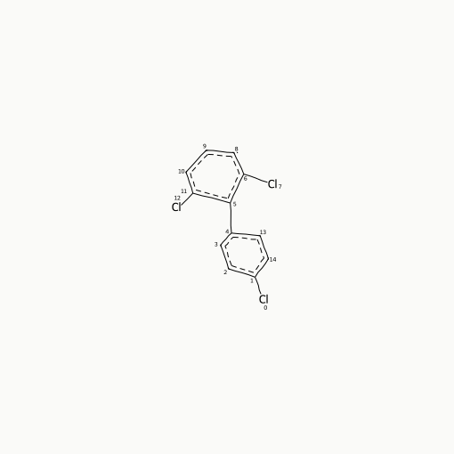 Clc1ccc(-c2c(Cl)[c]ccc2Cl)cc1